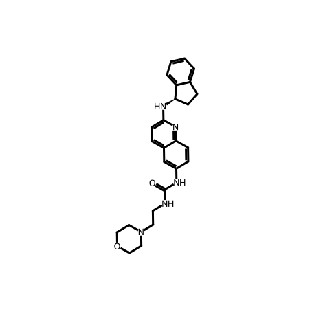 O=C(NCCN1CCOCC1)Nc1ccc2nc(N[C@@H]3CCc4ccccc43)ccc2c1